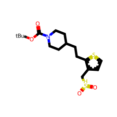 CC(C)(C)OC(=O)N1CCC(CCc2sccc2C[SH](=O)=O)CC1